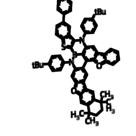 CC(C)(C)c1ccc(N2B3c4sc5ccc(-c6ccccc6)cc5c4N(c4ccc(C(C)(C)C)cc4)c4cc5c(oc6ccccc65)c(c43)-c3cc4c(cc32)oc2cc3c(cc24)C(C)(C)CCC3(C)C)cc1